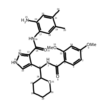 COc1ccc(C(=O)NC(c2c[nH]nc2C(=O)Nc2cc(C)c(C)cc2N)C2CCCCO2)c(OC)c1